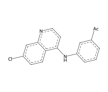 CC(=O)c1cccc(Nc2ccnc3cc(Cl)ccc23)c1